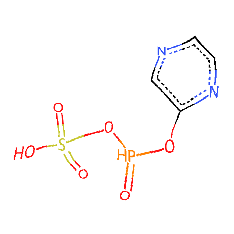 O=[PH](Oc1cnccn1)OS(=O)(=O)O